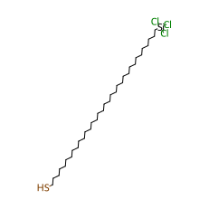 SCCCCCCCCCCCCCCCCCCCCCCCCCCCCCCCCCC[Si](Cl)(Cl)Cl